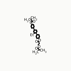 C=C(C)C(=O)OCCC(=O)Oc1ccc(-c2ccc(-c3ccc(OC(=O)C(=C)C)cc3)cc2CC)cc1